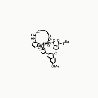 COc1ccc2c(O[C@@H]3C[C@@H](C(=O)N[C@]45C[C@H]4/C=C\CCCCC(=O)Nc4ccccc4S(=O)(=O)NC5=O)N(C(=O)OC(C)(C)C)C3)cc(-c3csc(NC(C)C)n3)nc2c1